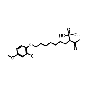 COc1ccc(OCCCCCCCC(C(C)=O)P(=O)(O)O)c(Cl)c1